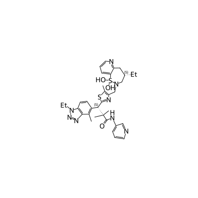 CC[C@H]1Cc2ncccc2S(O)(O)N(Cc2nc([C@@H](c3ccc4c(nnn4CC)c3C)C(C)(C)C(=O)Nc3cccnc3)sc2C)C1